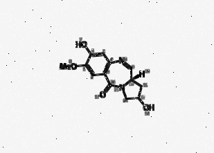 COc1cc2c(cc1O)N=C[C@@H]1CC(O)CN1C2=O